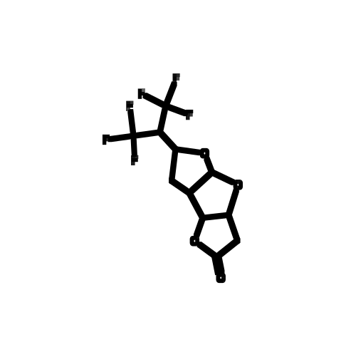 O=C1CC2OC3OC(C(C(F)(F)F)C(F)(F)F)CC3C2O1